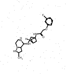 CC1CC2C(N[C@@H]3CC4(NC(=O)COc5cccc(F)c5)CC3C4)NCCN2N1